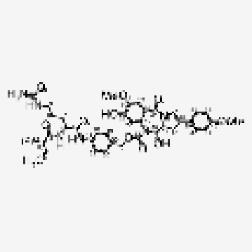 C=C[C@H](C(=O)NC(CCCNC(N)=O)C(=O)Nc1ccc(COC(=O)N2c3cc(O)c(OC)cc3C(=O)N3C=C(c4ccc(OC)cc4)CC3[C@@H]2O)cc1)C(C)C